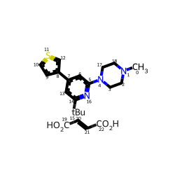 CN1CCN(c2cc(-c3ccsc3)cc(C(C)(C)C)n2)CC1.O=C(O)C=CC(=O)O